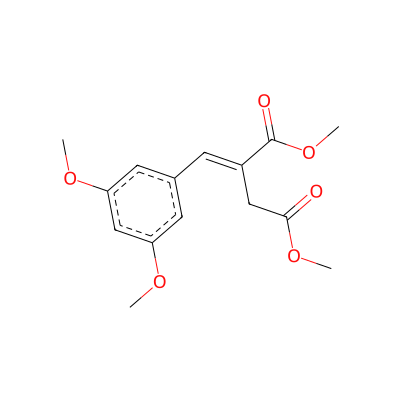 COC(=O)C/C(=C\c1cc(OC)cc(OC)c1)C(=O)OC